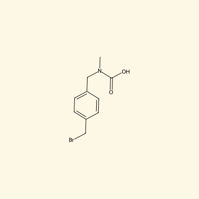 CN(Cc1ccc(CBr)cc1)C(=O)O